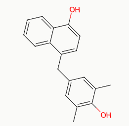 Cc1cc(Cc2ccc(O)c3ccccc23)cc(C)c1O